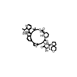 CCn1c(-c2cccnc2[C@H](C)OC)c2c3cc(ccc31)-c1csc(n1)C[C@H](NC(=O)[C@H](C(C)C)N(C)C(=O)N1CCCC13CCOCC3)C(=O)N1CCC[C@@](O)(N1)C(=O)OCC(C)(C)C2